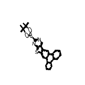 CC1(C)OB(c2ncc3c(n2)sc2cc4c5ccccc5c5ccccc5c4cc23)OC1(C)C